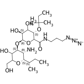 CC[C@H](C)[C@@H]1OC(CO)C(O)[C@@H](O[C@@H]2OC(C(=O)NCCCN=[N+]=[N-])[C@@H](OC(C)(C)CC)C(O)[C@@H]2O)[C@@H]1N